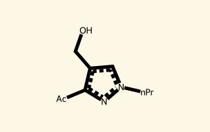 CCCn1cc(CO)c(C(C)=O)n1